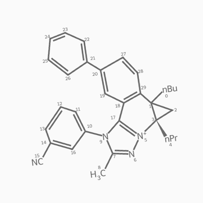 CCCCC12C[C@]1(CCC)[n+]1nc(C)n(-c3cccc(C#N)c3)c1-c1cc(-c3ccccc3)ccc12